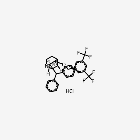 Cl.FC(F)(F)c1cc(CO[C@H]2C3CCN(CC3)[C@H]2C(c2ccccc2)c2ccccc2)cc(C(F)(F)F)c1